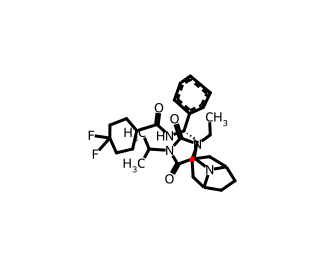 CCN1C(=O)N(C(C)C)C(=O)C12CC1CCC(C2)N1CC[C@H](NC(=O)C1CCC(F)(F)CC1)c1ccccc1